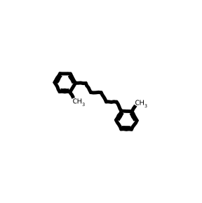 Cc1ccccc1CCCCCc1ccccc1C